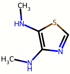 CNc1ncsc1NC